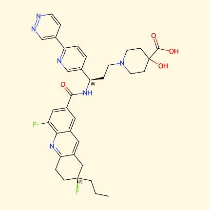 CCC[C@]1(F)CCc2nc3c(F)cc(C(=O)N[C@H](CCN4CCC(O)(C(=O)O)CC4)c4ccc(-c5ccnnc5)nc4)cc3cc2C1